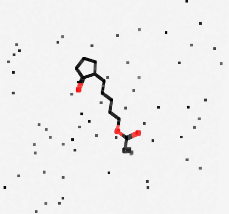 CC(=O)OCCCCCC1CCCC1=O